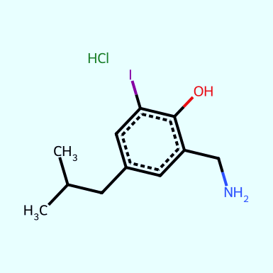 CC(C)Cc1cc(I)c(O)c(CN)c1.Cl